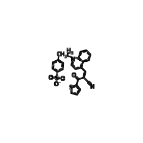 C[n+]1ccc(C=C(C#N)C(=O)c2cccs2)c2ccccc21.Cc1ccc(S(=O)(=O)[O-])cc1